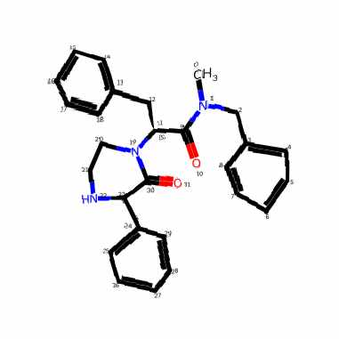 CN(Cc1ccccc1)C(=O)[C@H](Cc1ccccc1)N1CCNC(c2ccccc2)C1=O